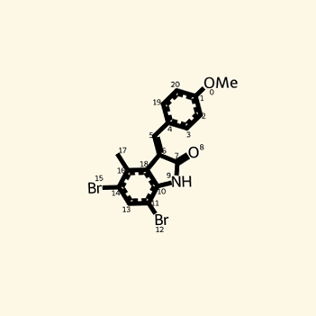 COc1ccc(C=C2C(=O)Nc3c(Br)cc(Br)c(C)c32)cc1